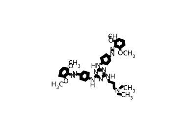 CCN(CC)CCCNc1nc(Nc2ccc(/N=N/c3c(OC)cccc3OC)cc2)nc(Nc2ccc(/N=N/c3c(OC)cccc3OC)cc2)n1